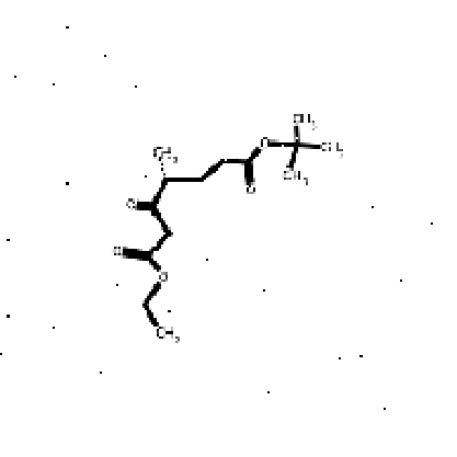 CCOC(=O)CC(=O)[C@H](C)CCC(=O)OC(C)(C)C